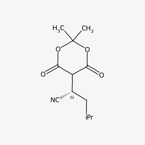 CC(C)C[C@H](C#N)C1C(=O)OC(C)(C)OC1=O